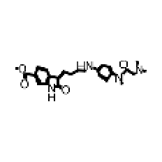 COC(=O)c1ccc2c(c1)NC(=O)/C2=C\CCCNc1ccc(N(C)C(=O)CN(C)C)cc1